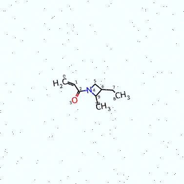 C=CC(=O)N1CC(CC)C1C